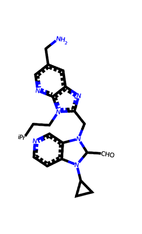 CC(C)CCn1c(CN2c3cnccc3N(C3CC3)C2C=O)nc2cc(CN)cnc21